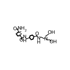 NC(=O)c1ccc(C(=O)NCc2ccc(C(=O)NCCN(CCO)CCO)cc2)s1